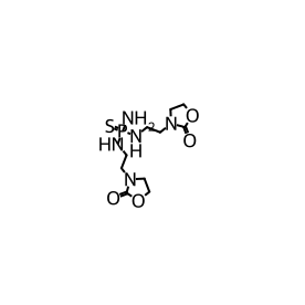 NP(=S)(NCCN1CCOC1=O)NCCN1CCOC1=O